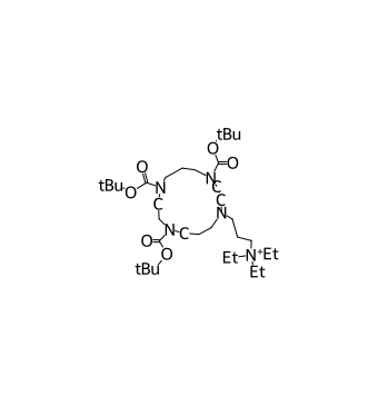 CC[N+](CC)(CC)CCCN1CCCN(C(=O)OC(C)(C)C)CCN(C(=O)OC(C)(C)C)CCCN(C(=O)OC(C)(C)C)CC1